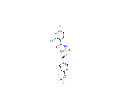 O=C(NS(=O)(=O)C=Cc1ccc(OC(F)(F)F)cc1)c1ccc(Br)cc1Cl